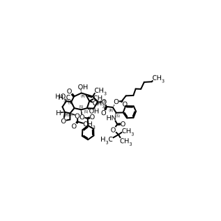 CCCCCCCC(=O)O[C@@H](C(=O)O[C@H]1C[C@@]2(O)[C@@H](OC(=O)c3ccccc3)C3[C@](C)(C(=O)[C@H](O)C(=C1C)C2(C)C)[C@@H](O)C[C@H]1OC[C@@]31OC(C)=O)[C@@H](NC(=O)OC(C)(C)C)c1ccccc1